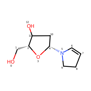 OC[C@H]1O[C@@H](N2C=CCC2)CC1O